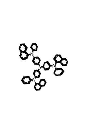 C1=CCCC(N(C2=CCC(N(c3ccc(N(c4ccccc4)c4cccc5ccccc45)cc3)c3ccc(N(c4ccccc4)c4cccc5ccccc45)cc3)C=C2)c2cccc3ccccc23)=C1